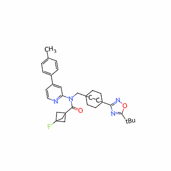 Cc1ccc(-c2ccnc(N(CC34CCC(c5noc(C(C)(C)C)n5)(CC3)CC4)C(=O)C34CC(F)(C3)C4)c2)cc1